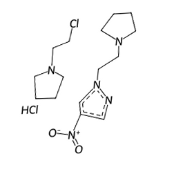 Cl.ClCCN1CCCC1.O=[N+]([O-])c1cnn(CCN2CCCC2)c1